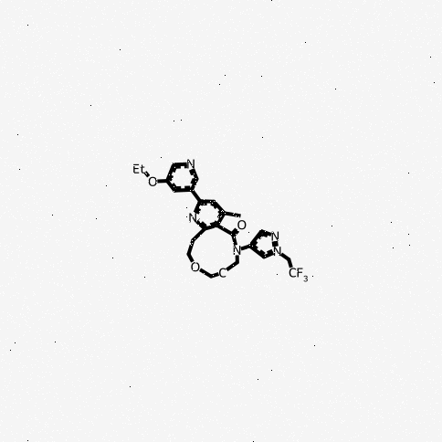 CCOc1cncc(-c2cc(C)c3c(n2)CCOCCCN(c2cnn(CC(F)(F)F)c2)C3=O)c1